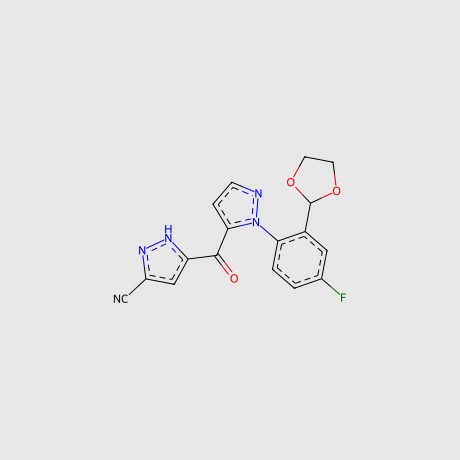 N#Cc1cc(C(=O)c2ccnn2-c2ccc(F)cc2C2OCCO2)[nH]n1